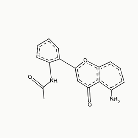 CC(=O)Nc1ccccc1-c1cc(=O)c2c(N)cccc2o1